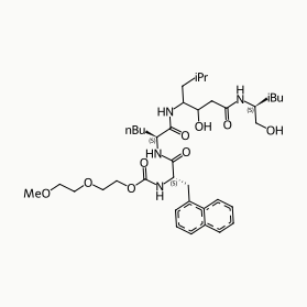 CCCC[C@H](NC(=O)[C@H](Cc1cccc2ccccc12)NC(=O)OCCOCCOC)C(=O)NC(CC(C)C)C(O)CC(=O)N[C@H](CO)C(C)CC